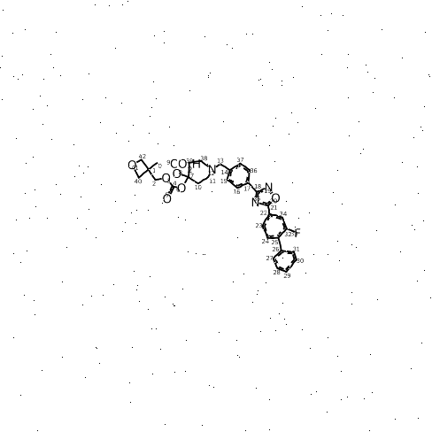 CC1(COC(=O)OC2(OC(=O)O)CCN(Cc3ccc(-c4noc(-c5ccc(-c6ccccc6)c(F)c5)n4)cc3)CC2)COC1